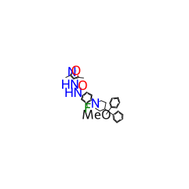 COC(c1ccccc1)(c1ccccc1)C1CCN(c2ccc(NC(=O)Nc3c(C)noc3C)cc2F)CC1